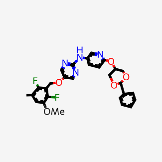 COc1cc(C)c(F)c(COc2cnc(Nc3ccc(OC4COC(c5ccccc5)OC4)nc3)nc2)c1F